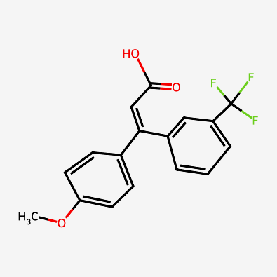 COc1ccc(/C(=C/C(=O)O)c2cccc(C(F)(F)F)c2)cc1